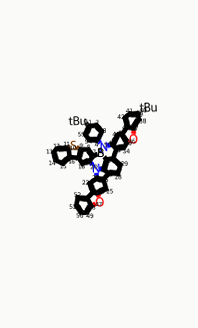 CC(C)(C)c1ccc(N2B3c4cc5sc6ccccc6c5cc4-n4c5cc6c(cc5c5ccc(c3c54)-c3cc4oc5cc(C(C)(C)C)ccc5c4cc32)oc2ccccc26)cc1